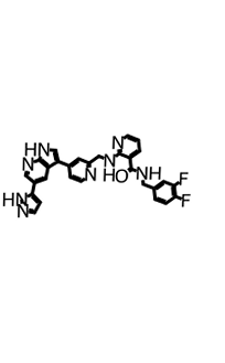 O=C(NCc1ccc(F)c(F)c1)c1cccnc1NCc1cc(-c2c[nH]c3ncc(-c4ccn[nH]4)cc23)ccn1